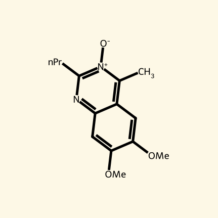 CCCc1nc2cc(OC)c(OC)cc2c(C)[n+]1[O-]